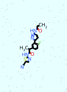 C=CC(=O)Nc1ccc(-c2cc(C(C)C(=O)Nc3ncc(C#N)s3)ccc2F)nn1